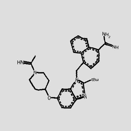 CC(=N)N1CCC(Oc2ccc3nc(C(C)(C)C)n(Cc4ccc(C(=N)N)c5ccccc45)c3c2)CC1